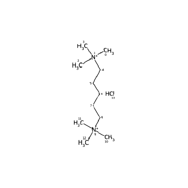 C[N+](C)(C)CCCCC[N+](C)(C)C.Cl